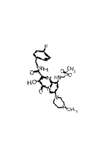 CN1CCN(c2cc(NCS(C)(=O)=O)c3nc(C(=O)NCc4ccc(F)cc4)c(O)c(=O)n3c2)CC1